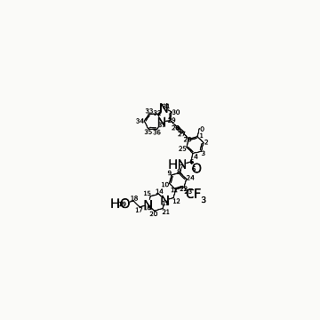 Cc1ccc(C(=O)Nc2ccc(CN3CCN(CCO)CC3)c(C(F)(F)F)c2)cc1C#Cc1cnc2ccccn12